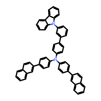 c1cc(-c2ccc(N(c3ccc(-c4ccc5ccccc5c4)cc3)c3ccc(-c4ccc5ccccc5c4)cc3)cc2)cc(-n2c3ccccc3c3ccccc32)c1